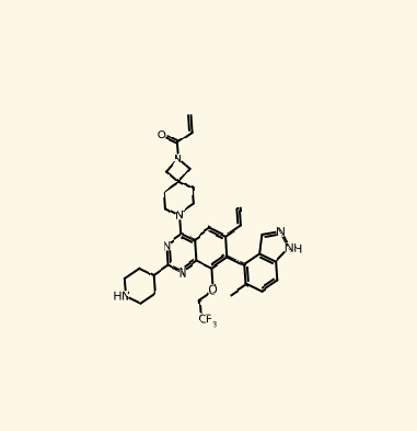 C=CC(=O)N1CC2(CCN(c3nc(C4CCNCC4)nc4c(OCC(F)(F)F)c(-c5c(C)ccc6[nH]ncc56)c(C=C)cc34)CC2)C1